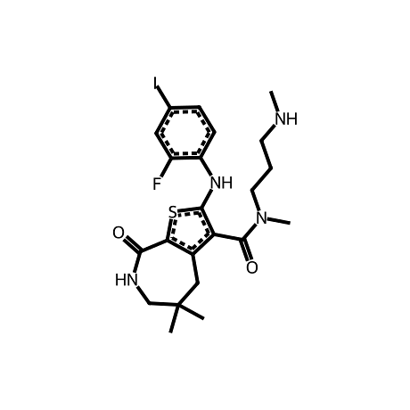 CNCCCN(C)C(=O)c1c(Nc2ccc(I)cc2F)sc2c1CC(C)(C)CNC2=O